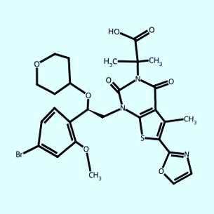 COc1cc(Br)ccc1[C@H](Cn1c(=O)n(C(C)(C)C(=O)O)c(=O)c2c(C)c(-c3ncco3)sc21)OC1CCOCC1